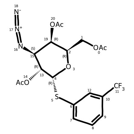 CC(=O)OC[C@H]1O[C@H](Sc2cccc(C(F)(F)F)c2)[C@H](OC(C)=O)[C@@H](N=[N+]=[N-])[C@H]1OC(C)=O